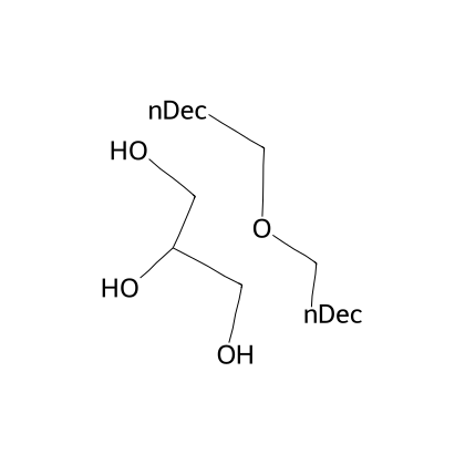 CCCCCCCCCCCOCCCCCCCCCCC.OCC(O)CO